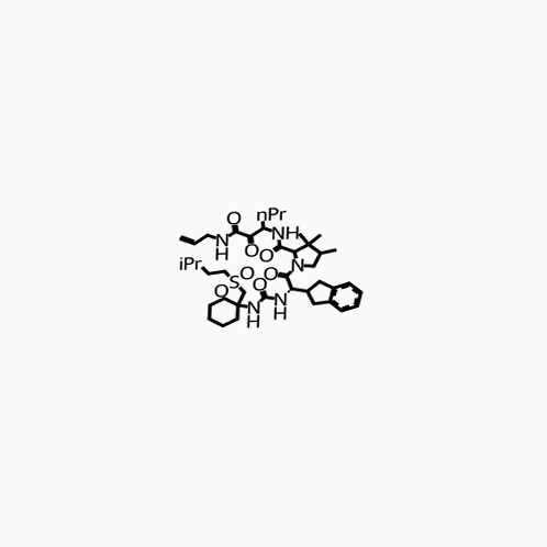 C=CCNC(=O)C(=O)C(CCC)NC(=O)C1N(C(=O)[C@@H](NC(=O)NC2(CS(=O)(=O)CCC(C)C)CCCCC2)C2Cc3ccccc3C2)CC(C)C1(C)C